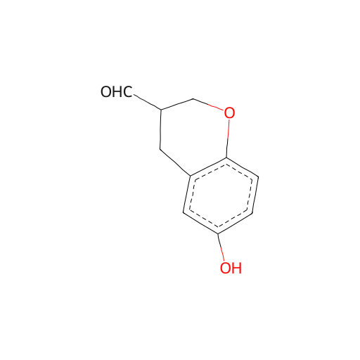 O=CC1COc2ccc(O)cc2C1